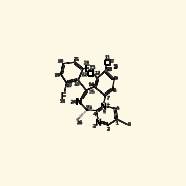 Cc1cnc2[n+](c1)-c1ccc(C(F)(F)F)c(Cl)c1C(c1c(F)cccc1F)=N[C@H]2C